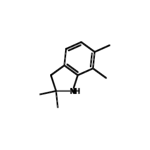 Cc1ccc2c(c1C)NC(C)(C)C2